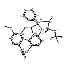 COc1ccc(C#N)c(-c2c(Cl)ccc3c2C[C@@](CN(C)C(=O)OC(C)(C)C)(c2ccccc2)O3)c1F